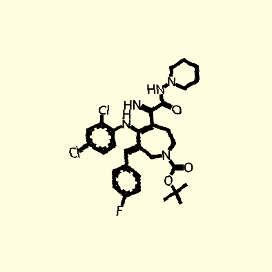 CC(C)(C)OC(=O)N1CCC(C(=N)C(=O)NN2CCCCC2)=C(Nc2ccc(Cl)cc2Cl)/C(=C/c2ccc(F)cc2)C1